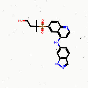 CC(C)(CCO)S(=O)(=O)c1ccc2nccc(Nc3ccc4cn[nH]c4c3)c2c1